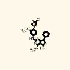 CNc1nc(Nc2ccc(-n3cnc(Cl)c3)c(OC)c2)nc2c1C(=O)CC2c1ccccc1